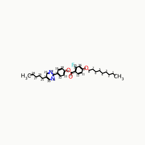 CCCCCCCCCOc1ccc(C(=O)Oc2ccc(-c3ncc(CCCCC)cn3)cc2)c(F)c1